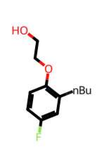 CCCCc1cc(F)ccc1OCCO